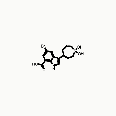 O=C(O)c1cc(Br)cc2c(C3CCCS(O)(O)CC3)c[nH]c12